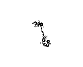 O=C1CCC(N2C(=O)c3cccc(NCCOCCOCCNS(=O)(=O)N4CCC(Nc5ncc6ccc(=O)n(C7CCCC7)c6n5)CC4)c3C2=O)C(=O)N1